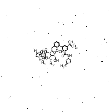 COc1c(CN2O[C@@H](CO)[C@@H]([C@H](C)O)[C@H]2C(=O)N[C@H]2C[C@H]3C[C@@H]([C@@H]2C)C3(C)C)cccc1-c1cc(C(=O)N[C@@H]2CCN(C)C2)cc(N(C)C)c1